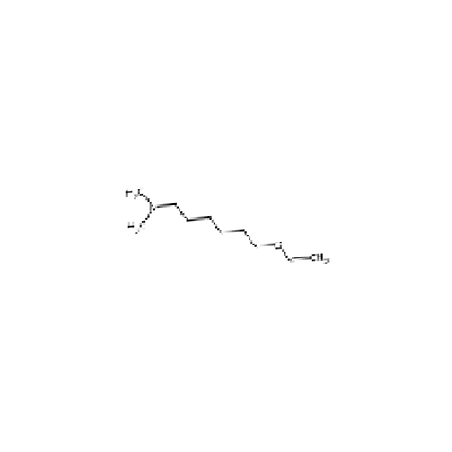 C=COCCCCCCN(C)C